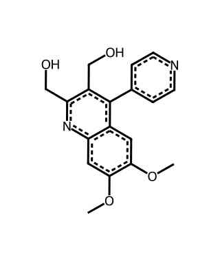 COc1cc2nc(CO)c(CO)c(-c3ccncc3)c2cc1OC